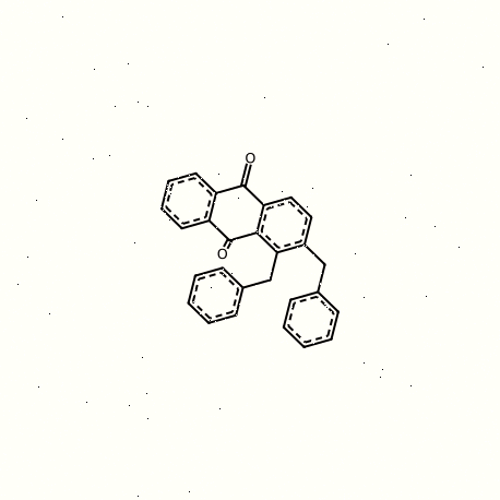 O=C1c2ccccc2C(=O)c2c1ccc(Cc1ccccc1)c2Cc1ccccc1